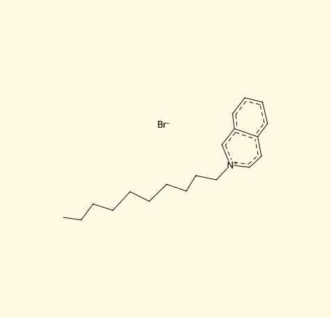 CCCCCCCCCC[n+]1ccc2ccccc2c1.[Br-]